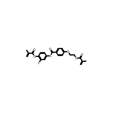 C=C(C)C(=O)OCCOc1ccc(C(=O)Sc2ccc(OC(=O)C(=C)C)c(F)c2)cc1